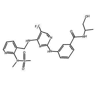 CC(CO)NC(=O)c1cccc(Nc2ncc(C(F)(F)F)c(NCc3cccnc3N(C)S(C)(=O)=O)n2)c1